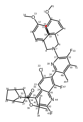 COc1ccc(CN(Cc2ccc(OC)cc2)c2nc(-c3c(Cl)cc4c(N5CC6CCC(C5)N6C(=O)OC(C)(C)C)nc(F)nc4c3F)c(I)c(C)c2F)cc1